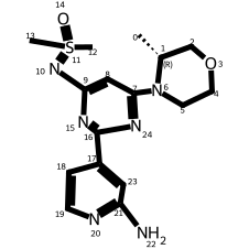 C[C@@H]1COCCN1c1cc(N=S(C)(C)=O)nc(-c2ccnc(N)c2)n1